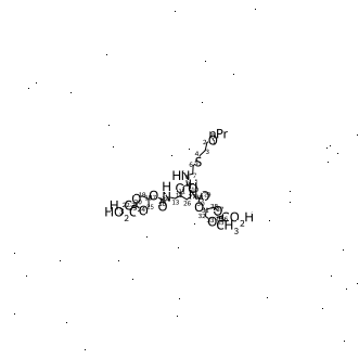 CCCOCCCSCCNC(=O)OC(CNC(=O)OC1COC(C)(C(=O)O)OC1)CNC(=O)OC1COC(C)(C(=O)O)OC1